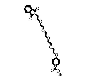 CC(C)(C)OC(=O)N1CCC(OCCOCCOCCOCCOCCN2C(=O)C3C=CC=CC3C2=O)CC1